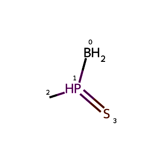 B[PH](C)=S